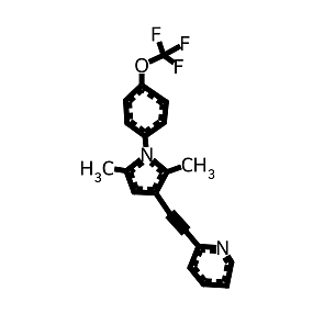 Cc1cc(C#Cc2ccccn2)c(C)n1-c1ccc(OC(F)(F)F)cc1